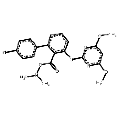 COc1cc(OC)nc(Oc2cccc(-c3ccc(Cl)cc3)c2C(=O)ON(C)C)n1